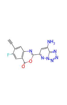 C#Cc1cc2nc(-c3cc(N)c4nnnn4n3)oc(=O)c2cc1F